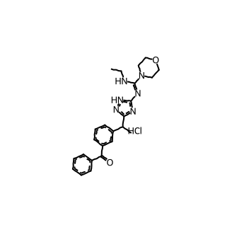 CCN/C(=N\c1nc(C(C)c2cccc(C(=O)c3ccccc3)c2)n[nH]1)N1CCOCC1.Cl